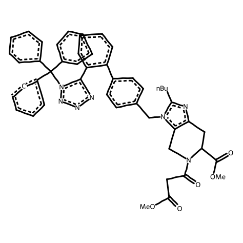 CCCCc1nc2c(n1Cc1ccc(-c3ccccc3-c3nnnn3C(c3ccccc3)(c3ccccc3)c3ccccc3)cc1)CN(C(=O)CC(=O)OC)C(C(=O)OC)C2